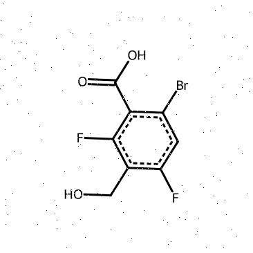 O=C(O)c1c(Br)cc(F)c(CO)c1F